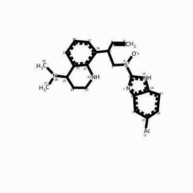 C=CC(C[S+]([O-])c1nc2cc(C(C)=O)ccc2[nH]1)c1cccc2c1NCCC2N(C)C